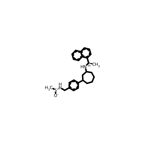 C[C@@H](NC1CCCCC(c2ccc(CN[S+](C)[O-])cc2)C1)c1cccc2ccccc12